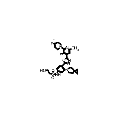 Cc1cc(-c2nnc(-c3ccc(NS(=O)(=O)CCO)cc3N3CCC4(CC3)CC4)o2)c(F)c(N2CCC(F)(F)CC2)n1